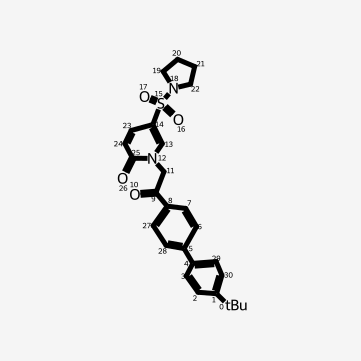 CC(C)(C)c1ccc(-c2ccc(C(=O)Cn3cc(S(=O)(=O)N4CCCC4)ccc3=O)cc2)cc1